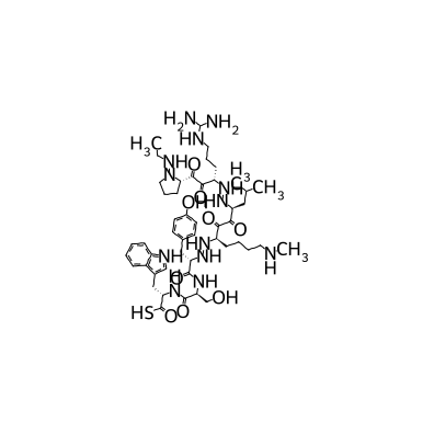 CCNN1CCC[C@H]1C(=O)C(=O)[C@H](CCCNC(N)N)NN[C@@H](CC(C)C)C(=O)C(=O)[C@@H](CCCCNC)NN[C@@H](Cc1ccc(O)cc1)C(=O)N[C@@H](CO)C(=O)N[C@@H](Cc1c[nH]c2ccccc12)C(=O)S